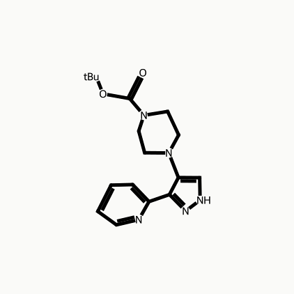 CC(C)(C)OC(=O)N1CCN(c2c[nH]nc2-c2ccccn2)CC1